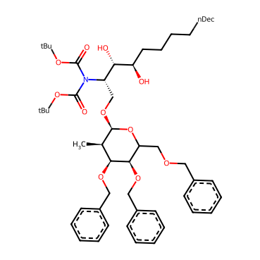 CCCCCCCCCCCCCC[C@@H](O)[C@@H](O)[C@H](CO[C@H]1OC(COCc2ccccc2)[C@@H](OCc2ccccc2)[C@@H](OCc2ccccc2)[C@H]1C)N(C(=O)OC(C)(C)C)C(=O)OC(C)(C)C